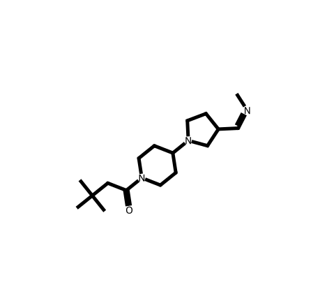 C/N=C\C1CCN(C2CCN(C(=O)CC(C)(C)C)CC2)C1